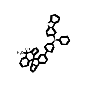 CC1(C)c2ccccc2C2(c3ccccc3-c3ccc(-c4ccc(N(c5ccccc5)c5ccc6sc7ccccc7c6c5)cc4)cc32)c2ccccc21